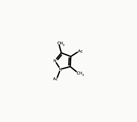 CC(=O)c1c(C)nn(C(C)=O)c1C